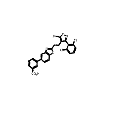 CC(C)c1onc(-c2c(Cl)cccc2Cl)c1CCc1nc2cc(-c3cccc(C(=O)O)c3)ccc2o1